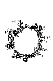 CCCC[C@H]1C(=O)N(C)CC(=O)N[C@@H](CC(=O)O)C(=O)N[C@@H](C(C)C)C(=O)N(C)[C@@H](Cc2ccccc2)C(=O)N[C@@H](Cc2ccc(O)cc2)C(=O)N(C)CC(=O)N[C@@H](Cc2c[nH]c3ccccc23)C(=O)N[C@@H](Cc2ccc(O)cc2)C(=O)N[C@@H](CC(C)C)C(=O)N[C@H](C(=O)NCC(N)=O)CSCC(=O)N[C@@H](Cc2ccccc2)C(=O)N[C@@H](Cc2cccc3ccccc23)C(=O)N1C